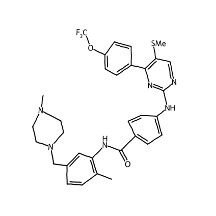 CSc1cnc(Nc2ccc(C(=O)Nc3cc(CN4CCN(C)CC4)ccc3C)cc2)nc1-c1ccc(OC(F)(F)F)cc1